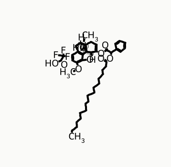 CCCCCCCCCCCCCCCCCC(=O)OC(C(=O)OC1=CC[C@@]2(O)[C@H]3Cc4ccc(OC)c5c4[C@@]2(CCN3C)[C@H]1O5)c1ccccc1.O=C(O)C(F)(F)F